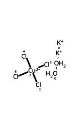 O.O.[Cl][Cu-2]([Cl])([Cl])[Cl].[K+].[K+]